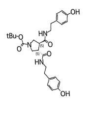 CC(C)(C)OC(=O)N1C[C@@H](C(=O)NCCc2ccc(O)cc2)[C@H](C(=O)NCCc2ccc(O)cc2)C1